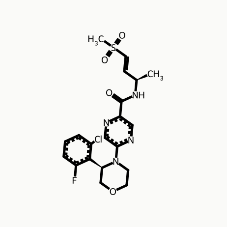 C[C@H](/C=C/S(C)(=O)=O)NC(=O)c1cnc(N2CCOC[C@H]2c2c(F)cccc2Cl)cn1